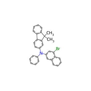 CC1(C)c2ccccc2-c2ccc(N(c3ccccc3)c3cc(Br)c4ccccc4c3)cc21